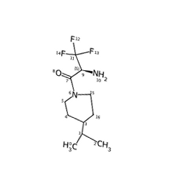 CC(C)C1CCN(C(=O)[C@H](N)C(F)(F)F)CC1